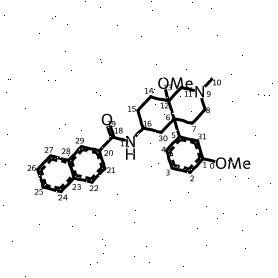 COc1cccc(C23CCN(C)CC2(OC)CCC(NC(=O)c2ccc4ccccc4c2)C3)c1